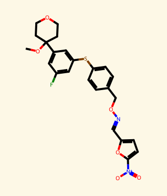 COC1(c2cc(F)cc(Sc3ccc(CON=Cc4ccc([N+](=O)[O-])o4)cc3)c2)CCOCC1